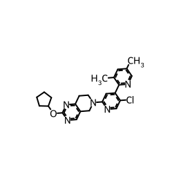 Cc1cnc(-c2cc(N3CCc4nc(OC5CCCC5)ncc4C3)ncc2Cl)c(C)c1